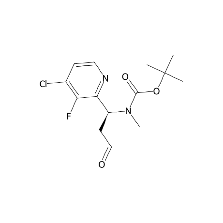 CN(C(=O)OC(C)(C)C)[C@@H](CC=O)c1nccc(Cl)c1F